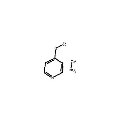 CCOc1ccncc1.O=[N+]([O-])O